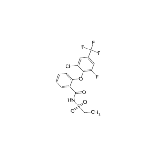 CCS(=O)(=O)NC(=O)c1ccccc1Oc1c(F)cc(C(F)(F)F)cc1Cl